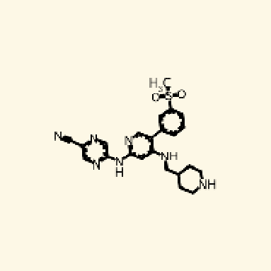 CS(=O)(=O)c1cccc(-c2cnc(Nc3cnc(C#N)cn3)cc2NCC2CCNCC2)c1